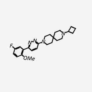 COc1ccc(F)cc1-c1ccc(N2CCC3(CC2)CCN(C2CCC2)CC3)nn1